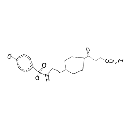 O=C(O)CCC(=O)C1CCC(CCNS(=O)(=O)c2ccc(Cl)cc2)CC1